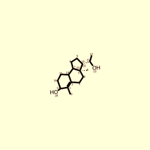 CC1=C2CC[C@@]3(C)C(CC[C@@H]3C(C)O)C2CCC1O